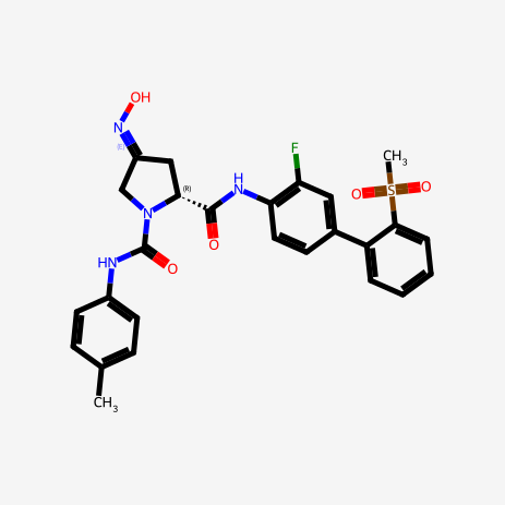 Cc1ccc(NC(=O)N2C/C(=N/O)C[C@@H]2C(=O)Nc2ccc(-c3ccccc3S(C)(=O)=O)cc2F)cc1